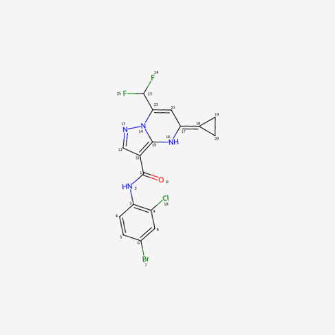 O=C(Nc1ccc(Br)cc1Cl)c1cnn2c1NC(=C1CC1)C=C2C(F)F